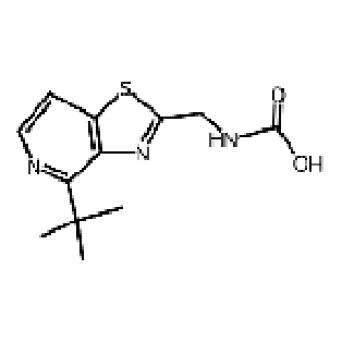 CC(C)(C)c1nccc2sc(CNC(=O)O)nc12